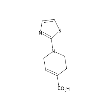 O=C(O)C1=CCN(c2nccs2)CC1